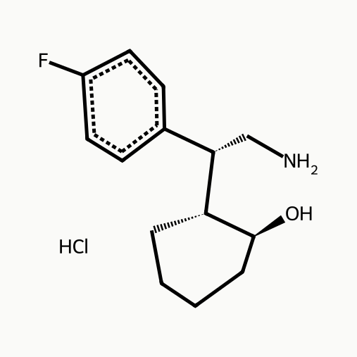 Cl.NC[C@@H](c1ccc(F)cc1)[C@H]1CCCC[C@@H]1O